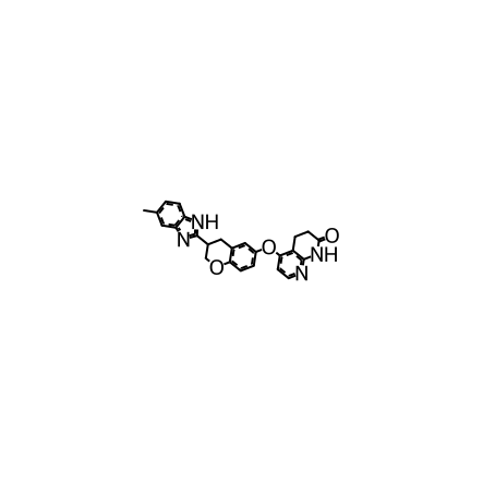 Cc1ccc2[nH]c(C3COc4ccc(Oc5ccnc6c5CCC(=O)N6)cc4C3)nc2c1